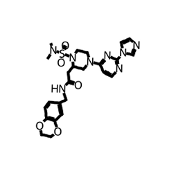 CN(C)S(=O)(=O)N1CCN(c2ccnc(-n3ccnc3)n2)CC1CC(=O)NCc1ccc2c(c1)OCCO2